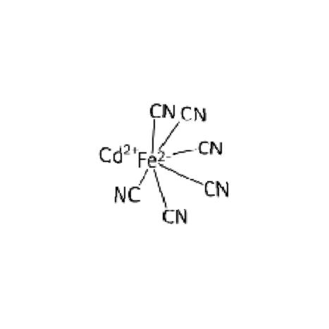 N#[C][Fe-2]([C]#N)([C]#N)([C]#N)([C]#N)[C]#N.[Cd+2]